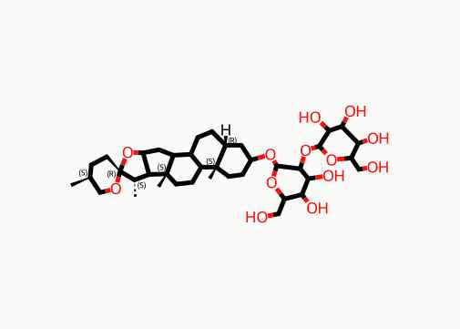 C[C@H]1CC[C@@]2(OC1)OC1CC3C4CC[C@@H]5CC(OC6OC(CO)C(O)C(O)C6OC6OC(CO)C(O)C(O)C6O)CC[C@]5(C)C4CC[C@]3(C)C1[C@@H]2C